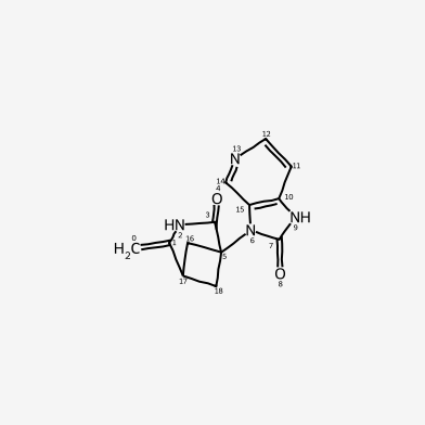 C=C1NC(=O)C2(n3c(=O)[nH]c4ccncc43)CC1C2